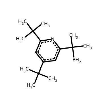 BC(C)(C)c1cc(C(C)(C)C)cc(C(C)(C)C)n1